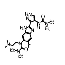 CCN(CC)C(=O)Nc1c[nH]nc1-c1nc2cc(F)c(N(CCN(C)C)C(=O)N(CC)CC)cc2[nH]1